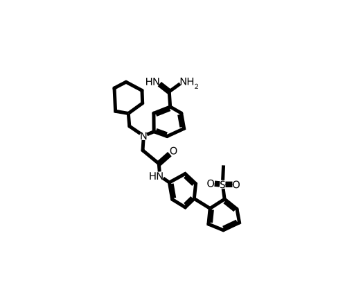 CS(=O)(=O)c1ccccc1-c1ccc(NC(=O)CN(CC2CCCCC2)c2cccc(C(=N)N)c2)cc1